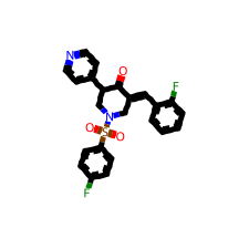 O=C1C(=Cc2ccccc2F)CN(S(=O)(=O)c2ccc(F)cc2)CC1c1ccncc1